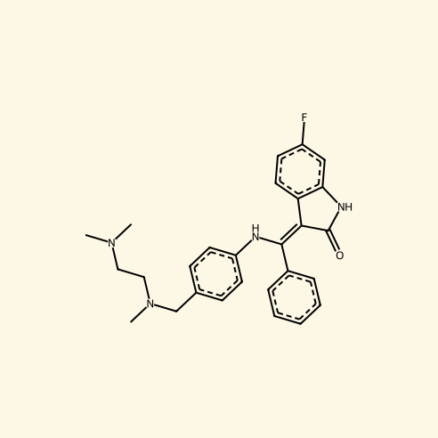 CN(C)CCN(C)Cc1ccc(NC(=C2C(=O)Nc3cc(F)ccc32)c2ccccc2)cc1